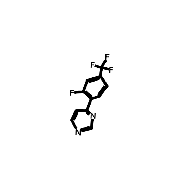 Fc1cc(C(F)(F)F)ccc1-c1ccncn1